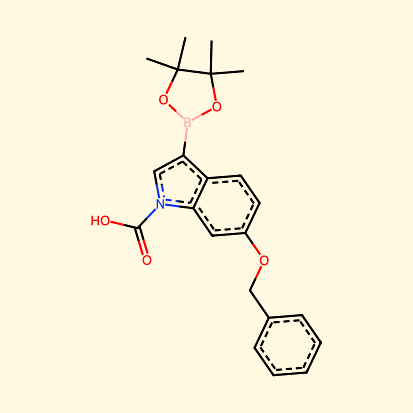 CC1(C)OB(c2cn(C(=O)O)c3cc(OCc4ccccc4)ccc23)OC1(C)C